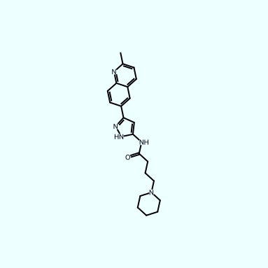 Cc1ccc2cc(-c3cc(NC(=O)CCCN4CCCCC4)[nH]n3)ccc2n1